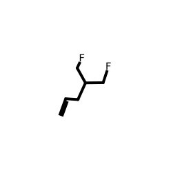 C=CCC(CF)CF